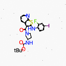 CC(C)(C)OC(=O)N[C@H]1CCN(C(=O)c2c(Nc3ccc(I)cc3F)sc3ncccc23)C1